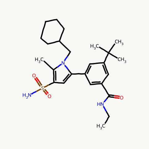 CCNC(=O)c1cc(-c2cc(S(N)(=O)=O)c(C)n2CC2CCCCC2)cc(C(C)(C)C)c1